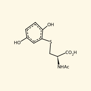 CC(=O)N[C@@H](CSc1cc(O)ccc1O)C(=O)O